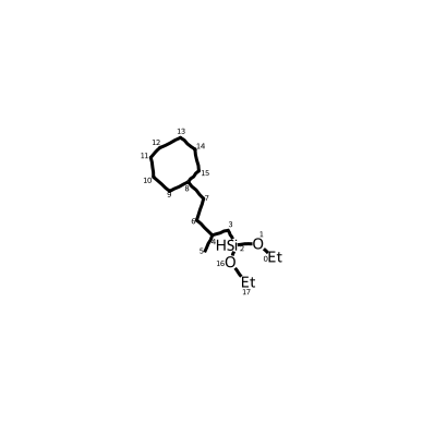 CCO[SiH](CC(C)CCC1CCCCCCC1)OCC